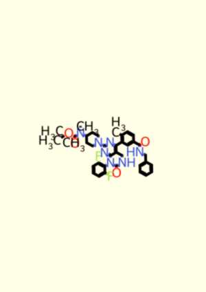 Cc1ccc(C(=O)NCc2ccccc2)cc1-c1nc(N2CCC(N(C)C(=O)OC(C)(C)C)CC2)nc2c1CNC(=O)N2c1c(F)cccc1F